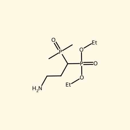 CCOP(=O)(OCC)C(CCN)P(C)(C)=O